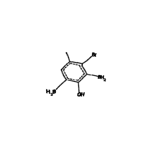 Bc1cc(C)c(Br)c(B)c1O